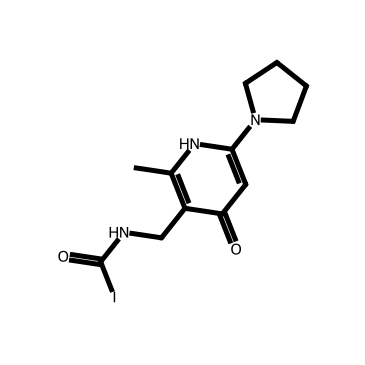 Cc1[nH]c(N2CCCC2)cc(=O)c1CNC(=O)I